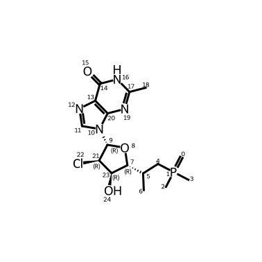 C=P(C)(C)CC(C)[C@H]1O[C@@H](n2cnc3c(=O)[nH]c(C)nc32)[C@H](Cl)[C@@H]1O